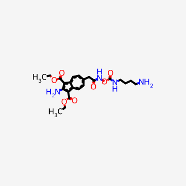 CCOC(=O)c1c2ccc(CC(=O)NOC(=O)NCCCCN)ccc-2c(C(=O)OCC)c1N